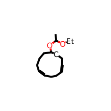 CCOC(C)OC1CCC=CCCC=CCCC1